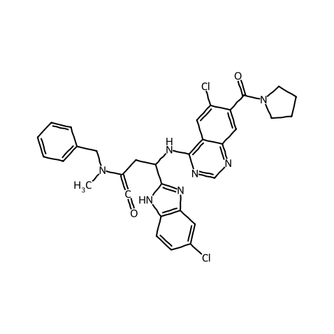 CN(Cc1ccccc1)C(=C=O)CC(Nc1ncnc2cc(C(=O)N3CCCC3)c(Cl)cc12)c1nc2cc(Cl)ccc2[nH]1